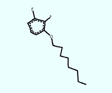 CCCCCCCCOc1cc[c]c(F)c1F